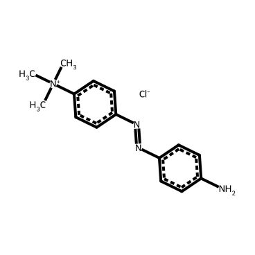 C[N+](C)(C)c1ccc(/N=N/c2ccc(N)cc2)cc1.[Cl-]